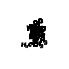 CC1=C2CC(CC1C1(C3(C4=CC(=O)OC4=O)CC4CC(=C3C)C4(C)C)CC3CC(=C1C)C3(C)C)C2(C)C